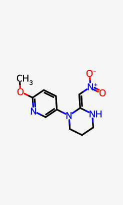 COc1ccc(N2CCCNC2=C[N+](=O)[O-])cn1